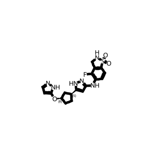 O=S1(=O)NCc2c1ccc(Nc1cc([C@H]3CC[C@@H](Oc4ccn[nH]4)C3)[nH]n1)c2F